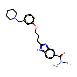 CN(C)C(=O)c1ccc2[nH]c(CCCOc3cccc(CN4CCCCC4)c3)nc2c1